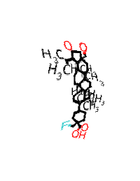 CC(C)C1=C2[C@H]3CC[C@@H]4[C@@]5(C)CC=C(C6=CCC(CF)(C(=O)O)CC6)C(C)(C)[C@@H]5CC[C@@]4(C)[C@]3(C)CC[C@@]2(C=O)CC1=O